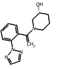 C=C(c1ccccc1-n1nccn1)N1CCC[C@@H](O)C1